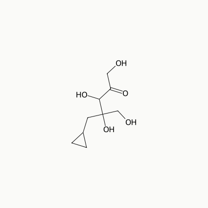 O=C(CO)C(O)C(O)(CO)CC1CC1